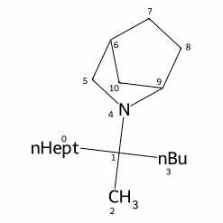 CCCCCCCC(C)(CCCC)N1CC2CCC1C2